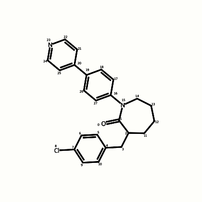 O=C1C(Cc2ccc(Cl)cc2)CCCCN1c1ccc(-c2ccncc2)cc1